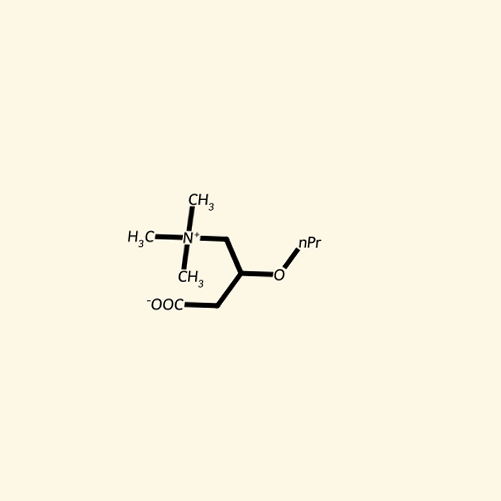 CCCOC(CC(=O)[O-])C[N+](C)(C)C